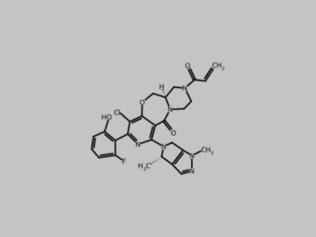 C=CC(=O)N1CCN2C(=O)c3c(N4Cc5c(cnn5C)[C@@H]4C)nc(-c4c(O)cccc4F)c(Cl)c3OC[C@H]2C1